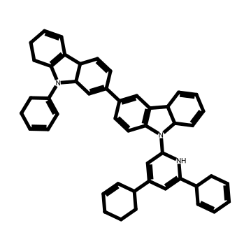 C1=CCCC(N2C3=C(C=CCC3)C3C=CC(c4ccc5c(c4)C4C=CC=CC4N5C4C=C(C5C=CCCC5)C=C(C5C=CC=CC5)N4)=CC32)=C1